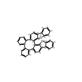 c1ccc2c(c1)-c1ccccc1-c1ccc3c(oc4ccccc43)c1-c1c-2ccc2c1oc1ccccc12